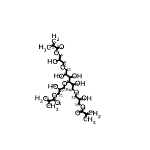 C=C(C)C(=O)OCC(O)COCC(O)C(O)C(OCC(O)COC(=O)C(=C)C)C(O)COCC(O)COC(=O)C(=C)C